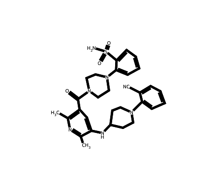 Cc1nc(C)c(C(=O)N2CCN(c3ccccc3S(N)(=O)=O)CC2)cc1NC1CCN(c2ccccc2C#N)CC1